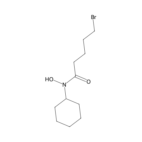 O=C(CCCCBr)N(O)C1CCCCC1